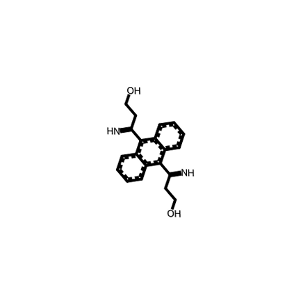 N=C(CCO)c1c2ccccc2c(C(=N)CCO)c2ccccc12